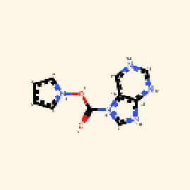 O=C(On1cccc1)n1cnc2ncncc21